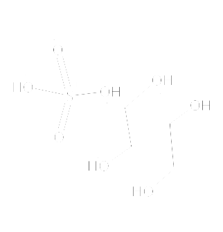 O=S(=O)(O)O.OCCO.OCCO